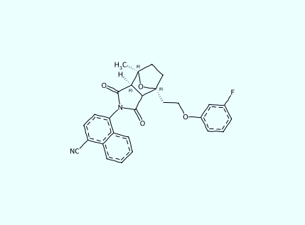 C[C@]12CC[C@](CCOc3cccc(F)c3)(O1)C1C(=O)N(c3ccc(C#N)c4ccccc34)C(=O)[C@H]12